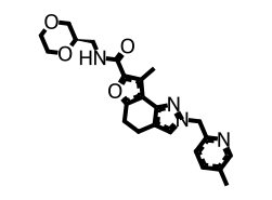 Cc1ccc(Cn2cc3c(n2)-c2c(oc(C(=O)NC[C@@H]4COCCO4)c2C)CC3)nc1